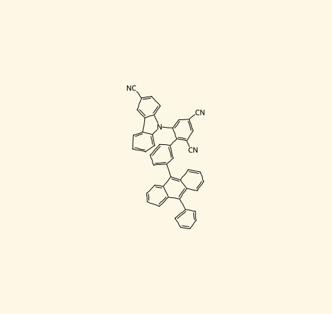 N#Cc1cc(C#N)c(-c2cccc(-c3c4ccccc4c(-c4ccccc4)c4ccccc34)c2)c(-n2c3ccccc3c3cc(C#N)ccc32)c1